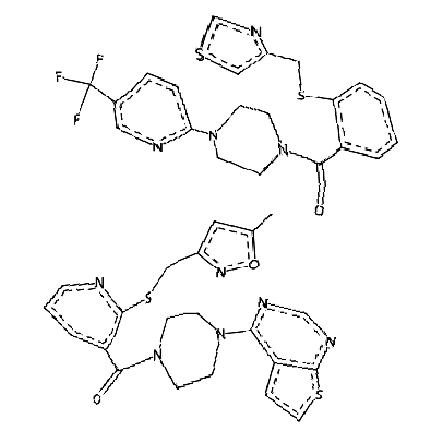 Cc1cc(CSc2ncccc2C(=O)N2CCN(c3ncnc4sccc34)CC2)no1.O=C(c1ccccc1SCc1cscn1)N1CCN(c2ccc(C(F)(F)F)cn2)CC1